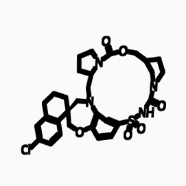 O=C1NS(=O)(=O)c2ccc3c(c2)N(CC2CCCN2C(=O)OCC2CCN1C2)C[C@@]1(CCCc2cc(Cl)ccc21)CO3